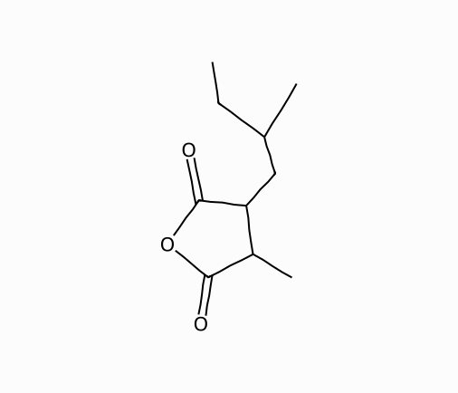 CCC(C)CC1C(=O)OC(=O)C1C